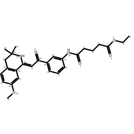 CCOC(=O)CCCC(=O)Nc1cccc(C(=O)C=C2NC(C)(C)Cc3ccc(OC)cc32)c1